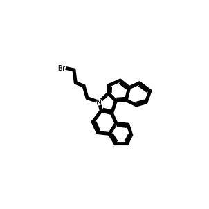 BrCCCCn1c2ccc3ccccc3c2c2c3ccccc3ccc21